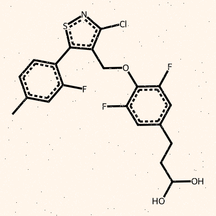 Cc1ccc(-c2snc(Cl)c2COc2c(F)cc(CCC(O)O)cc2F)c(F)c1